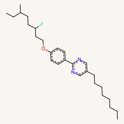 CCCCCCCCc1cnc(-c2ccc(OCCC(F)CCC(C)CC)cc2)nc1